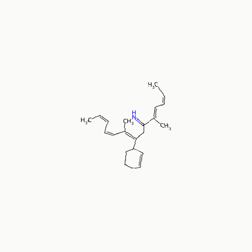 C\C=C/C=C\C(C)=C(\CC(=N)/C(C)=C/C=C\C)C1C=CCCC1